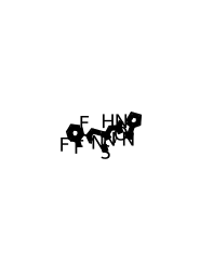 Cn1c(CC(=O)NC2CCCC2C#N)c2n(c1=S)C[C@@H](c1c(F)ccc(F)c1F)C2